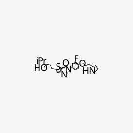 CC(C)C(O)CCc1cc2ncn(-c3ccc(OCCC4CCCN4)c(F)c3)c(=O)c2s1